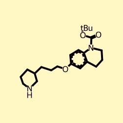 CC(C)(C)OC(=O)N1CCCc2cc(OCCCC3CCCNC3)ccc21